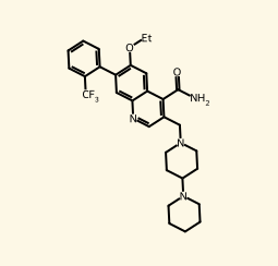 CCOc1cc2c(C(N)=O)c(CN3CCC(N4CCCCC4)CC3)cnc2cc1-c1ccccc1C(F)(F)F